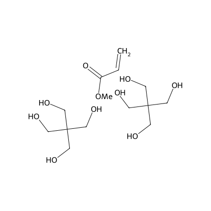 C=CC(=O)OC.OCC(CO)(CO)CO.OCC(CO)(CO)CO